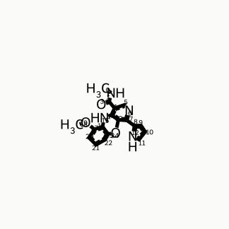 CNC(=O)c1cnc(-c2ccc[nH]2)c2c1Nc1c(OC)cccc1O2